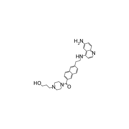 Nc1ccc2nccc(NCCc3ccc4cc(C(=O)N5CCN(CCCO)CC5)ccc4c3)c2c1